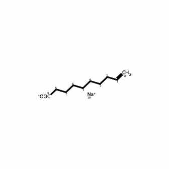 C=CCCCCCCCC(=O)[O-].[Na+]